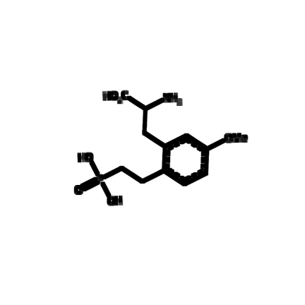 COc1ccc(CCP(=O)(O)O)c(CC(N)C(=O)O)c1